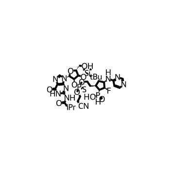 CC(C)C(=O)Nc1nc2c(ncn2[C@@H]2O[C@H](CO)C(O[Si](C)(C)C(C)(C)C)[C@H]2OP(=S)(OCCC#N)OCC[C@H]2C[C@@H](Nc3ccncn3)[C@@H](F)[C@@H]2[PH](=O)O)c(=O)[nH]1